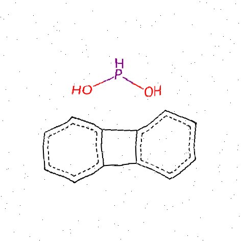 OPO.c1ccc2c(c1)-c1ccccc1-2